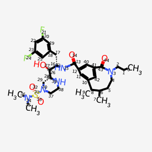 CCCN1CCC(C)C(C)c2cc(C(=O)N[C@@H](Cc3cc(F)cc(F)c3)[C@H](O)[C@H]3CN(S(=O)(=O)N(C)C)CCN3)cc(c2)C1=O